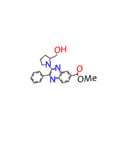 COC(=O)c1ccc2nc(-c3ccccc3)c(N3CCCC3CO)nc2c1